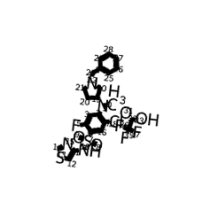 CN(c1cc(F)c(S(=O)(=O)Nc2cscn2)cc1Cl)[C@H]1CCN(Cc2ccccc2)C1.O=C(O)C(F)(F)F